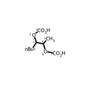 CCCCC(OC(=O)O)C(C)OC(=O)O